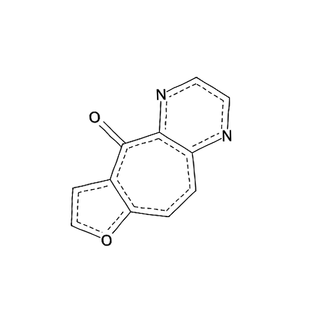 O=c1c2ccoc2ccc2nccnc12